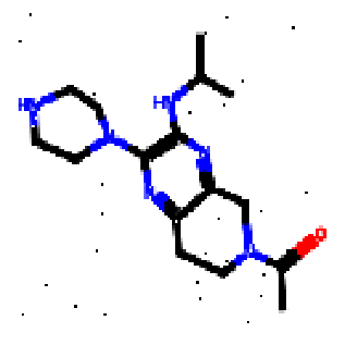 CC(=O)N1CCc2nc(N3CCNCC3)c(NC(C)C)nc2C1